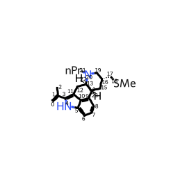 C=C(C)c1[nH]c2cccc3c2c1C[C@@H]1[C@@H]3C[C@@H](CSC)CN1CCC